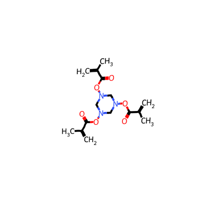 C=C(C)C(=O)ON1CN(OC(=O)C(=C)C)CN(OC(=O)C(=C)C)C1